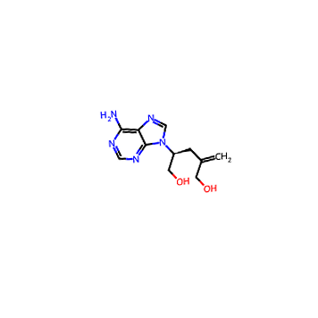 C=C(CO)C[C@@H](CO)n1cnc2c(N)ncnc21